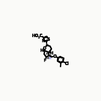 Cc1cc(O/C=C2\[C@H]3CC[C@H](c4nc(C(=O)O)cs4)O[C@H]3C[C@@H]2F)ccc1Cl